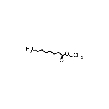 C[CH]OC(=O)CCCCCCC